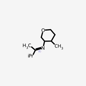 C/C(=N\C1COCCC1C)C(C)C